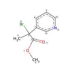 COC(=O)C(C)(Br)c1cccnc1